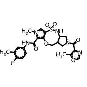 Cc1cc(NC(=O)c2c3c(cn2C)S(=O)(=O)NC2CN(C(=O)c4ncoc4C)CC2CO3)ccc1F